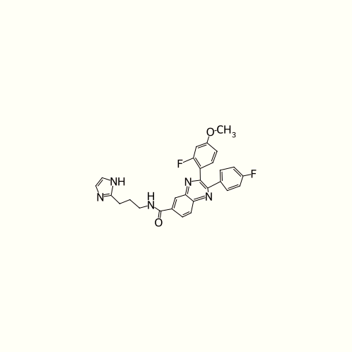 COc1ccc(-c2nc3cc(C(=O)NCCCc4ncc[nH]4)ccc3nc2-c2ccc(F)cc2)c(F)c1